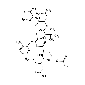 CC[C@H](NC(=O)[C@H](CC(C)C)NC(=O)[C@@H](NC(=O)[C@H](Cc1ccccc1C)NC(=O)[C@H](CSCNC(C)=O)NC(=O)[C@H](CC(=O)O)NC(C)=O)C(C)(C)C)B(O)O